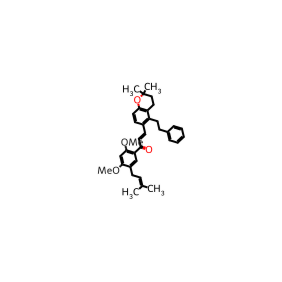 COc1cc(OC)c(C(=O)/C=C/c2ccc3c(c2CCc2ccccc2)CCC(C)(C)O3)cc1CC=C(C)C